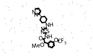 CO[C@@H](C(=O)Nc1nnc(N[C@H]2CC[C@H](c3cccnn3)CC2)s1)c1cccc(OC(F)(F)F)c1